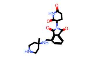 CC1(NCc2cccc3c2C(=O)N(C2CCC(=O)NC2=O)C3=O)CCNCC1